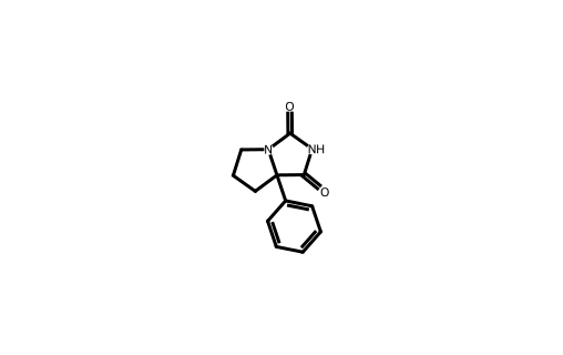 O=C1NC(=O)C2(c3ccccc3)CCCN12